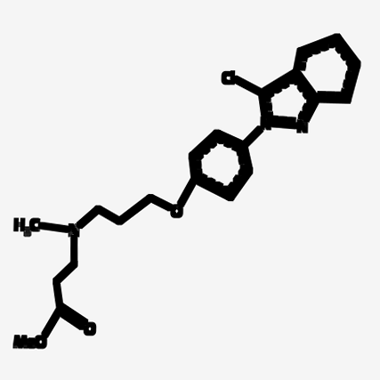 COC(=O)CCN(C)CCCOc1ccc(-n2nc3ccccc3c2Cl)cc1